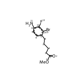 COC(=O)CCCCc1ccc(N)c(F)c1Br